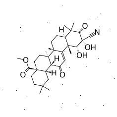 COC(=O)[C@]12CCC(C)(C)C[C@H]1[C@H]1C(=O)C=C3[C@@]4(C)[C@@H](O)[C@](O)(C#N)C(=O)C(C)(C)[C@@H]4CC[C@@]3(C)[C@]1(C)CC2